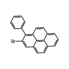 Brc1cc2ccc3cccc4ccc(c1-c1ccccc1)c2c34